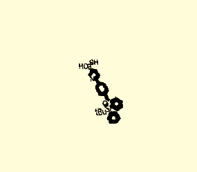 CC(C)(C)[Si](OCC1CCC(c2ccc(B(O)O)cn2)CC1)(c1ccccc1)c1ccccc1